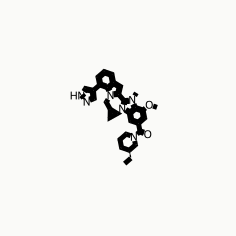 CC[C@@H]1CCCN(C(=O)c2cc(OC)c3c(c2)nc(-c2cc4cccc(-c5cn[nH]c5)c4n2CC2CC2)n3C)C1